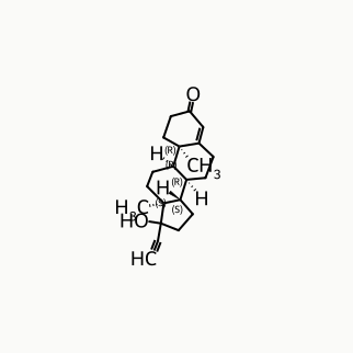 C#CC1(O)CC[C@H]2[C@@H]3CCC4=CC(=O)CC[C@]4(C)[C@@H]3CC[C@@]21C